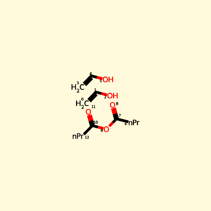 C=CO.C=CO.CCCC(=O)OC(=O)CCC